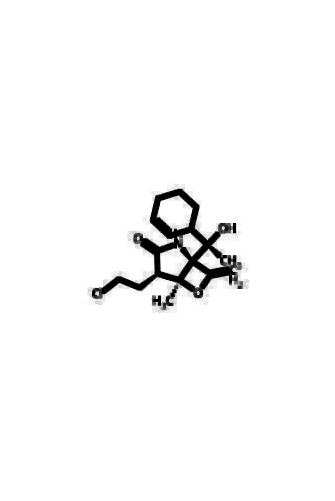 C=C1O[C@@]2(C)[C@@H](CCCl)C(=O)N[C@@]12[C@@](C)(O)C1C=CCCC1